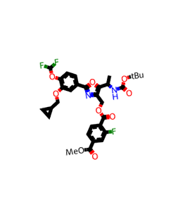 COC(=O)c1ccc(C(=O)OCc2nc(-c3ccc(OC(F)F)c(OCC4CC4)c3)oc2C(C)NC(=O)OC(C)(C)C)c(F)c1